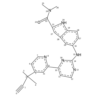 C#CC(C)(C)c1ccnc(-c2ccnc(Nc3ccc4[nH]c(C(=O)N(C)C)cc4c3)n2)c1